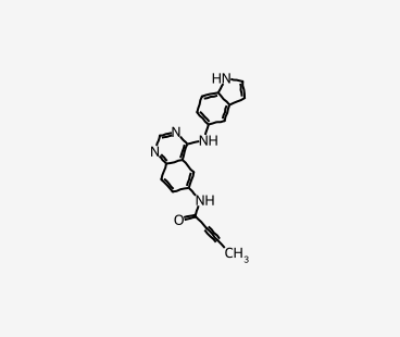 CC#CC(=O)Nc1ccc2ncnc(Nc3ccc4[nH]ccc4c3)c2c1